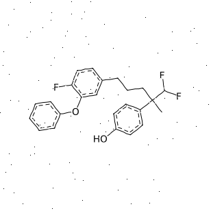 CC(CCCc1ccc(F)c(Oc2ccccc2)c1)(c1ccc(O)cc1)C(F)F